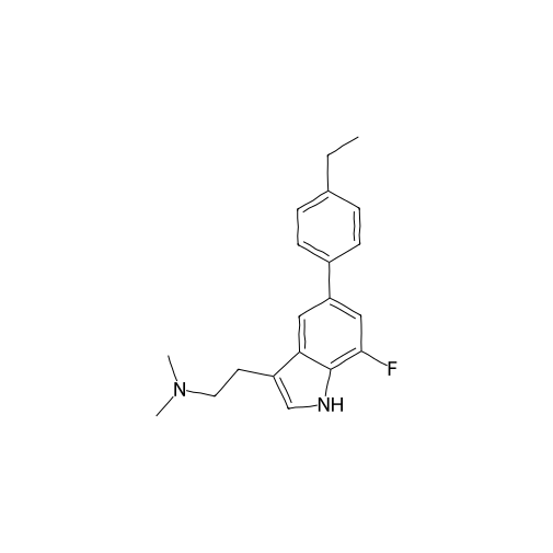 CCc1ccc(-c2cc(F)c3[nH]cc(CCN(C)C)c3c2)cc1